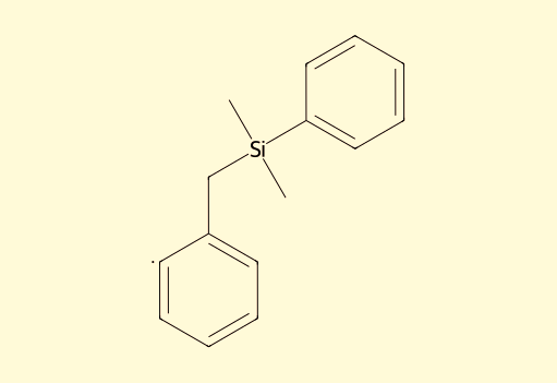 C[Si](C)(Cc1[c]cccc1)c1ccccc1